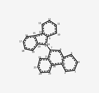 c1ccc2c(c1)cc(-n1c3ccccc3c3ccccc31)c1ccccc12